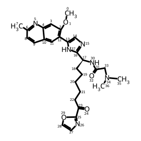 COc1cc2nc(C)ccc2cc1-c1cnc([C@H](CCCCCC(=O)c2ncco2)NC(=O)CN(C)C)[nH]1